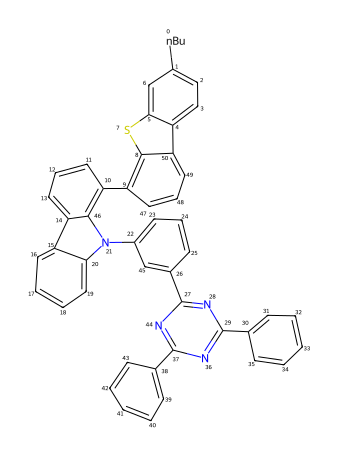 CCCCc1ccc2c(c1)sc1c(-c3cccc4c5ccccc5n(-c5cccc(-c6nc(-c7ccccc7)nc(-c7ccccc7)n6)c5)c34)cccc12